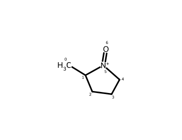 CC1CCC[N+]1=O